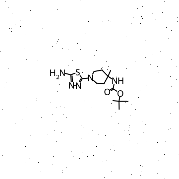 CC1(NC(=O)OC(C)(C)C)CCN(c2nnc(N)s2)CC1